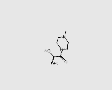 CCCC(O)C(=O)N1CCN(C)CC1